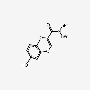 CCCN(CCC)C(=O)C1=COc2cc(O)ccc2O1